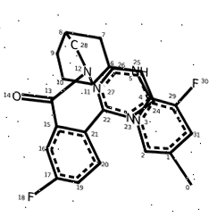 Cc1cnc(NC2CC3CCC2N(C(=O)c2cc(F)ccc2-c2ncccn2)C3)c(F)c1